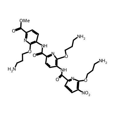 COC(=O)c1ccc(NC(=O)c2ccc(NC(=O)c3ccc([N+](=O)[O-])c(OCCCN)n3)c(OCCCN)n2)c(OCCCN)n1